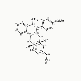 COc1ccc([C@@H](C(C)c2ccccc2)[C@H]2CC[C@H]3NC[C@H](CO)C[C@H]3C2)cc1